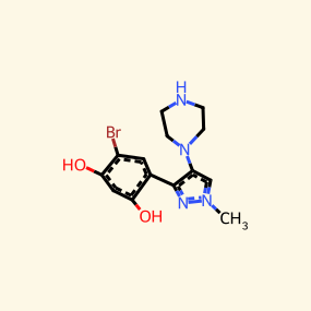 Cn1cc(N2CCNCC2)c(-c2cc(Br)c(O)cc2O)n1